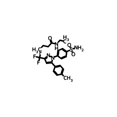 CCCC(=O)NCC.Cc1ccc(-c2cc(C(F)(F)F)nn2-c2ccc(S(N)(=O)=O)cc2)cc1